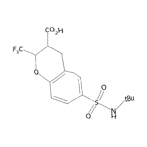 CC(C)(C)NS(=O)(=O)c1ccc2c(c1)CC(C(=O)O)C(C(F)(F)F)O2